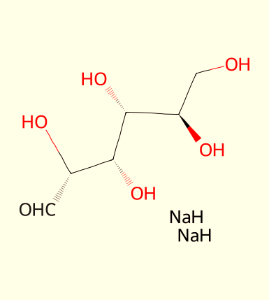 O=C[C@H](O)[C@@H](O)[C@H](O)[C@H](O)CO.[NaH].[NaH]